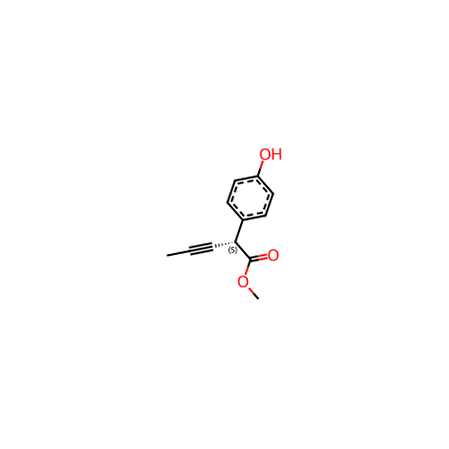 CC#C[C@@H](C(=O)OC)c1ccc(O)cc1